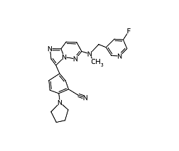 CN(Cc1cncc(F)c1)c1ccc2ncc(-c3ccc(N4CCCC4)c(C#N)c3)n2n1